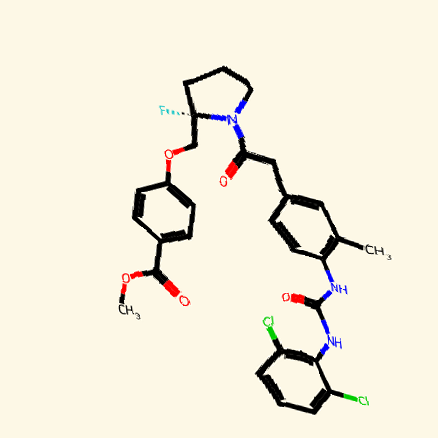 COC(=O)c1ccc(OC[C@@]2(F)CCCN2C(=O)Cc2ccc(NC(=O)Nc3c(Cl)cccc3Cl)c(C)c2)cc1